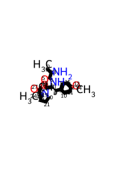 CCC(N)C(=O)N[C@@H](Cc1ccc(OC)cc1)C(=O)N1CCC[C@@]1(C)C(C)=O